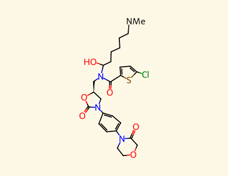 CNCCCCCC(O)N(C[C@H]1CN(c2ccc(N3CCOCC3=O)cc2)C(=O)O1)C(=O)c1ccc(Cl)s1